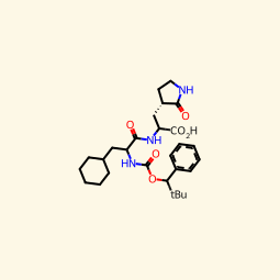 CC(C)(C)C(OC(=O)NC(CC1CCCCC1)C(=O)NC(C[C@@H]1CCNC1=O)C(=O)O)c1ccccc1